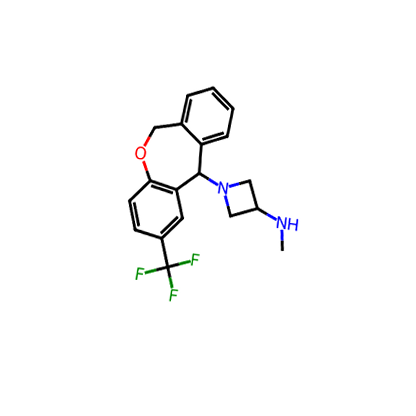 CNC1CN(C2c3ccccc3COc3ccc(C(F)(F)F)cc32)C1